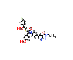 CCNC(=O)c1cncc(-c2ccc(N3C(=O)[C@H](SC[C@@H](O)c4ccc(F)cc4)[C@H]3c3ccc(O)cc3)cc2)c1